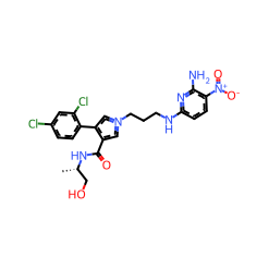 C[C@@H](CO)NC(=O)c1cn(CCCNc2ccc([N+](=O)[O-])c(N)n2)cc1-c1ccc(Cl)cc1Cl